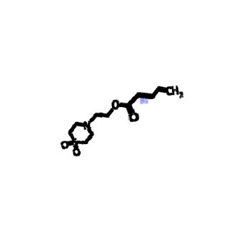 C=C/C=C/C(=O)OCCN1CCS(=O)(=O)CC1